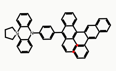 c1ccc(-c2cc3ccccc3cc2-c2c3ccccc3c(-c3ccc(N4c5ccccc5[Si]5(CCCC5)c5ccccc54)cc3)c3ccccc23)cc1